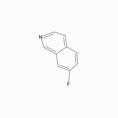 Fc1c[c]c2ccncc2c1